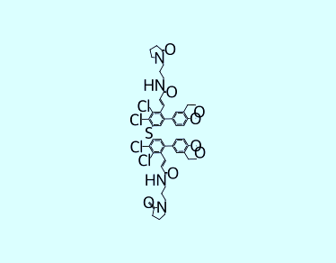 O=C(/C=C/c1c(-c2ccc3c(c2)CCOO3)cc(Sc2cc(-c3ccc4c(c3)CCOO4)c(/C=C/C(=O)NCCCN3CCCC3=O)c(Cl)c2Cl)c(Cl)c1Cl)NCCCN1CCCC1=O